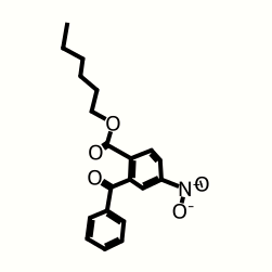 CCCCCCOC(=O)c1ccc([N+](=O)[O-])cc1C(=O)c1ccccc1